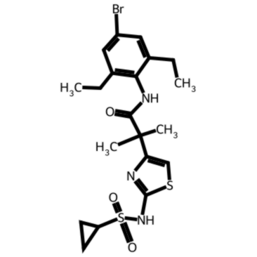 CCc1cc(Br)cc(CC)c1NC(=O)C(C)(C)c1csc(NS(=O)(=O)C2CC2)n1